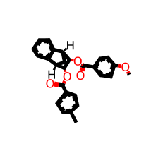 COc1ccc(C(=O)O[C@H]2[C@@H](OC(=O)c3ccc(C)cc3)[C@H]3C[C@@H]2c2ccccc23)cc1